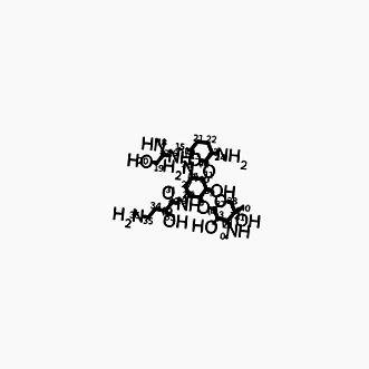 CN[C@@H]1C(O)[C@@H](OC2C(O)C(O[C@H]3O[C@H](CNC(=N)CO)CCC3N)[C@@H](N)C[C@H]2NC(=O)[C@@H](O)CCN)OCC1(C)O